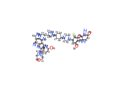 COc1ccc(CN2C3COCC2CN(c2ccc(-c4nc(-c5cnn(C6CCC(N7CCN(c8cc(OC)c(NC9CCC(=O)NC9=O)cc8F)CC7)CC6)c5)cn5ncc(C#N)c45)cn2)C3)cn1